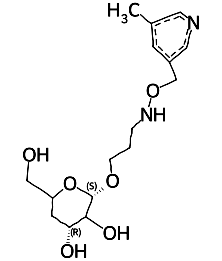 Cc1cncc(CONCCCO[C@H]2OC(CO)C[C@@H](O)C2O)c1